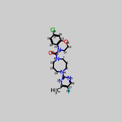 Cc1nc(N2CCCN(C(=O)N3CCOc4cc(Cl)ccc43)CCC2)ncc1F